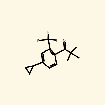 CC(C)(C)C(=O)c1ccc(C2CC2)cc1C(F)(F)F